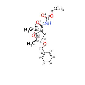 CCOC(=O)NC(=O)[C@@]12C[C@H](OCc3ccccc3)[C@@](C)(C1)OC2(C)C